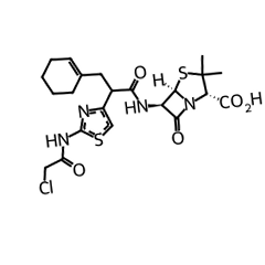 CC1(C)S[C@@H]2[C@H](NC(=O)C(CC3=CCCCC3)c3csc(NC(=O)CCl)n3)C(=O)N2[C@H]1C(=O)O